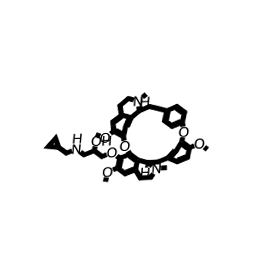 COc1ccc2cc1Oc1ccc(cc1)C[C@H]1c3cc(c(OC)cc3CCN1C)Oc1c(OCC(O)CNCC3CC3)c(OC)cc3c1[C@H](C2)N(C)CC3